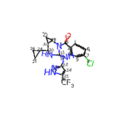 CN(C(=O)c1ccc(Cl)cc1)C(Nc1cc(C(F)(F)F)[nH]n1)NC(C1CC1)C1CC1